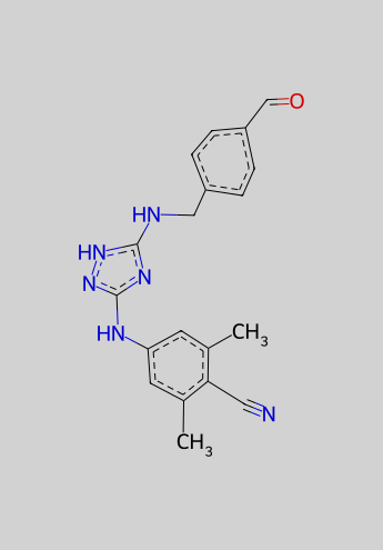 Cc1cc(Nc2n[nH]c(NCc3ccc(C=O)cc3)n2)cc(C)c1C#N